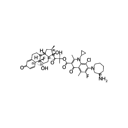 Cc1c(F)c(N2CCCC[C@@H](N)C2)c(Cl)c2c1c(=O)c(C(=O)OC(C)(C)C(=O)[C@@]1(O)[C@H](C)C[C@H]3[C@@H]4CCC5=CC(=O)C=C[C@]5(C)[C@@]4(F)[C@@H](O)C[C@@]31C)c(C)n2C1CC1